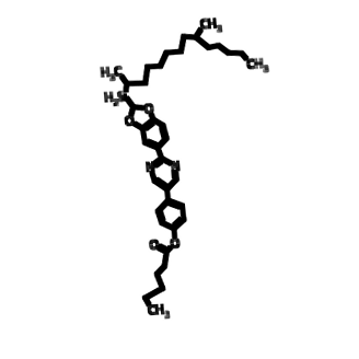 CCCCCC(=O)Oc1ccc(-c2cnc(-c3ccc4c(c3)OC([SiH2]C(C)CCCCCCC(C)CCCCC)O4)nc2)cc1